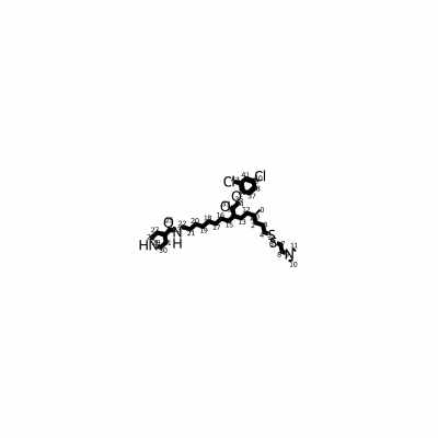 C[C@@H](CCCSSCCN(C)C)CCC(CCCCCCCCNC(=O)C1CCNCC1)C(=O)COc1ccc(Cl)cc1Cl